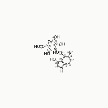 O=C(O)[C@H]1O[C@@H](O)[C@H](O)[C@@H](O)[C@@H]1O.Oc1c[nH]c2ccc(Br)c(Cl)c12